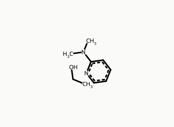 CCO.CN(C)c1ccccn1